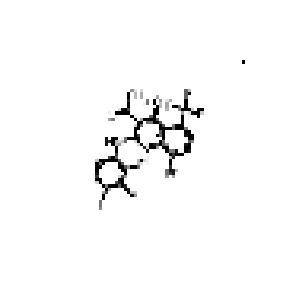 CC(=O)c1c(Nc2ccc(F)c(F)c2F)[nH]c2c(Br)ccc(C(F)(F)F)c2c1=O